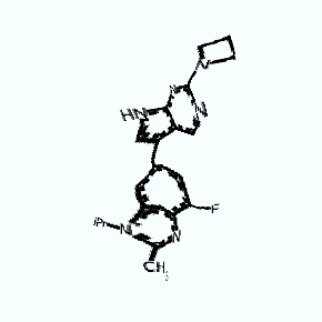 Cc1nc2c(F)cc(-c3c[nH]c4nc(N5CCC5)ncc34)cc2n1C(C)C